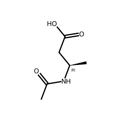 CC(=O)N[C@H](C)CC(=O)O